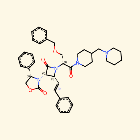 O=C([C@@H](COCc1ccccc1)N1C(=O)[C@@H](N2C(=O)OC[C@@H]2c2ccccc2)[C@H]1/C=C/c1ccccc1)N1CCC(CN2CCCCC2)CC1